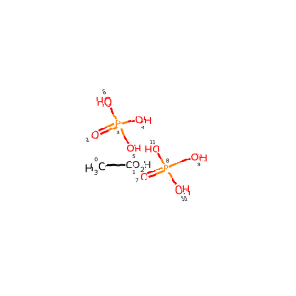 CC(=O)O.O=P(O)(O)O.O=P(O)(O)O